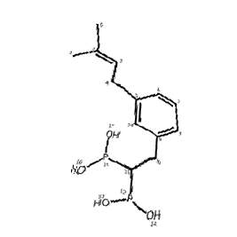 CC(C)=CCc1cccc(CC(P(O)O)P(O)O)c1